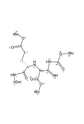 CCCCCCCCCCNC(=O)[C@H](CSC(=O)OC(C)(C)C)NN(C(=N)NC(=O)OC(C)(C)C)C(=O)OC(C)(C)C